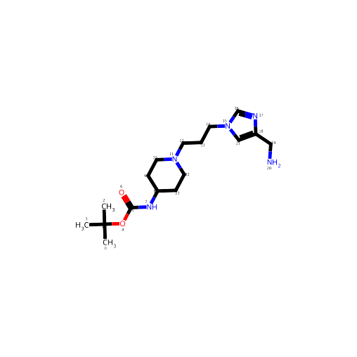 CC(C)(C)OC(=O)NC1CCN(CCCn2cnc(CN)c2)CC1